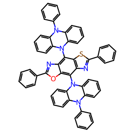 c1ccc(-c2nc3c(N4c5ccccc5N(c5ccccc5)c5ccccc54)c4sc(-c5ccccc5)nc4c(N4c5ccccc5N(c5ccccc5)c5ccccc54)c3o2)cc1